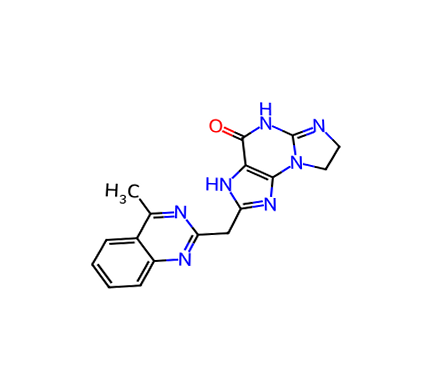 Cc1nc(Cc2nc3c([nH]2)C(=O)NC2=NCCN23)nc2ccccc12